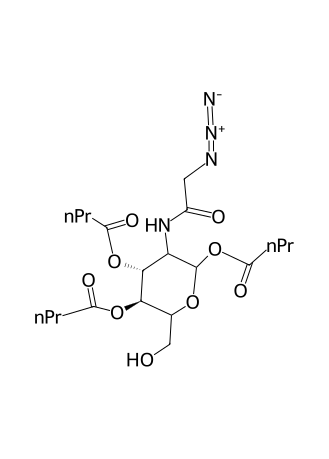 CCCC(=O)OC1OC(CO)[C@@H](OC(=O)CCC)[C@H](OC(=O)CCC)C1NC(=O)CN=[N+]=[N-]